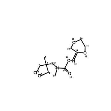 CN(SC(C)(CCl)CCl)C(=O)ON=C1COCCO1